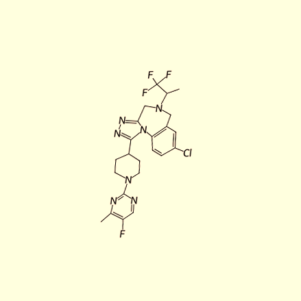 Cc1nc(N2CCC(c3nnc4n3-c3ccc(Cl)cc3CN(C(C)C(F)(F)F)C4)CC2)ncc1F